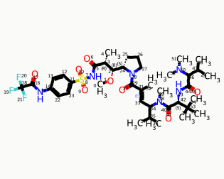 CO[C@H]([C@@H](C)C(=O)NS(=O)(=O)c1ccc(NC(=O)C(F)(F)F)cc1)[C@@H]1CCCN1C(=O)/C(C)=C/C(C(C)C)N(C)C(=O)[C@@H](NC(=O)C(C(C)C)N(C)C)C(C)(C)C